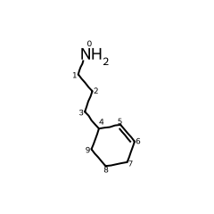 NCCCC1C=CCCC1